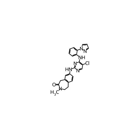 CN1CCc2ccc(Nc3ncc(Cl)c(Nc4ccccc4-n4cccn4)n3)cc2CC1=O